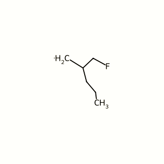 [CH2]C(CF)CCC